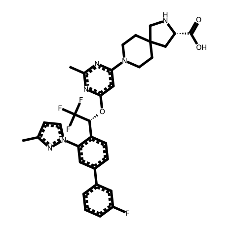 Cc1ccn(-c2cc(-c3cccc(F)c3)ccc2[C@@H](Oc2cc(N3CCC4(CC3)CN[C@H](C(=O)O)C4)nc(C)n2)C(F)(F)F)n1